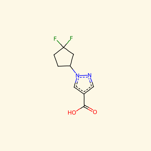 O=C(O)c1cnn(C2CCC(F)(F)C2)c1